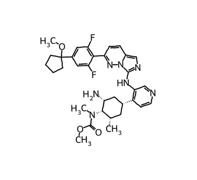 COC(=O)N(C)[C@@H]1[C@H](N)C[C@H](c2ccncc2Nc2ncc3ccc(-c4c(F)cc(C5(OC)CCCC5)cc4F)nn23)C[C@@H]1C